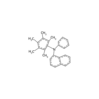 Cc1c(C)c(C)c(N(c2ccccc2)c2cccc3ccccc23)c(C)c1C